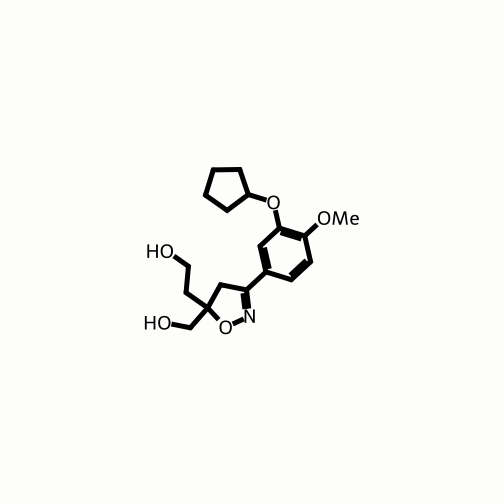 COc1ccc(C2=NOC(CO)(CCO)C2)cc1OC1CCCC1